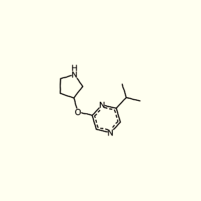 CC(C)c1cncc(OC2CCNC2)n1